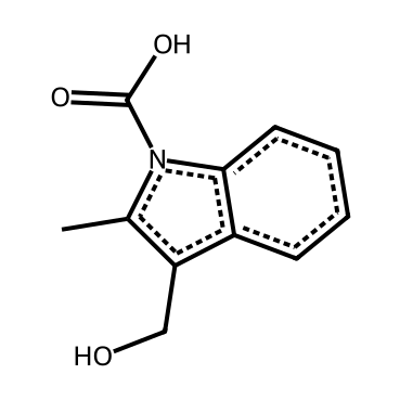 Cc1c(CO)c2ccccc2n1C(=O)O